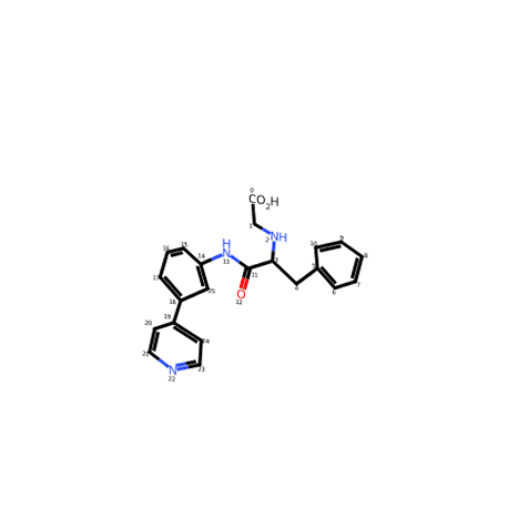 O=C(O)CNC(Cc1ccccc1)C(=O)Nc1cccc(-c2ccncc2)c1